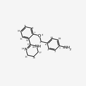 Nc1ccc(COc2ccccc2C2=NCCCN2)cc1